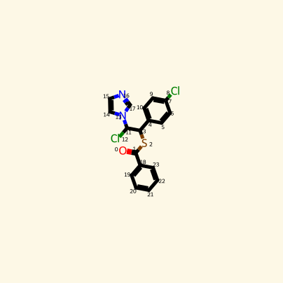 O=C(SC(c1ccc(Cl)cc1)C(Cl)n1ccnc1)c1ccccc1